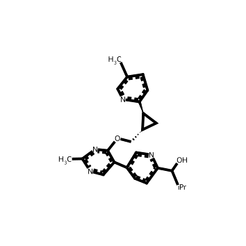 Cc1ccc([C@H]2C[C@@H]2COc2nc(C)ncc2-c2ccc(C(O)C(C)C)nc2)nc1